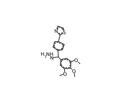 COc1cc(C(NN)c2ccc(-c3nccs3)cc2)cc(OC)c1OC